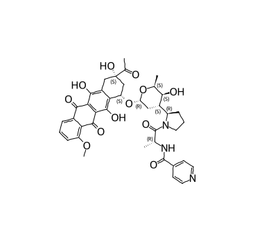 COc1cccc2c1C(=O)c1c(O)c3c(c(O)c1C2=O)C[C@@](O)(C(C)=O)C[C@@H]3O[C@H]1C[C@@H]([C@H]2CCCN2C(=O)[C@@H](C)NC(=O)c2ccncc2)[C@H](O)[C@H](C)O1